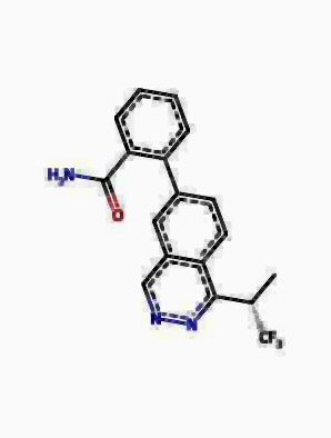 C[C@@H](c1nncc2cc(-c3ccccc3C(N)=O)ccc12)C(F)(F)F